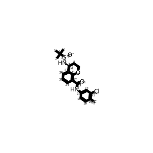 CC(C)(C)[S@+]([O-])N[C@H]1CCOc2c(C(=O)Nc3ccc(F)c(Cl)c3)cccc21